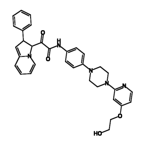 O=C(Nc1ccc(N2CCN(c3cc(OCCO)ccn3)CC2)cc1)C(=O)C1C(c2ccccc2)C=C2C=CC=CN21